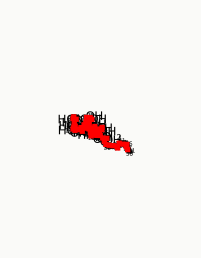 CC(=O)N[C@H]1[C@H](O[C@H]2[C@H](O)[C@@H](NC(C)=O)[C@H](O[C@H]3[C@@H](OP(=O)(O)OC[C@@H](OCCC(C)CCCCC(C)(C)CCC(C)CCC(C)CCCC(C)C)C(=O)O)O[C@H](C(N)=O)[C@@](C)(O)[C@@H]3OC(N)=O)O[C@@H]2CO[C@@H]2O[C@H](CO)[C@@H](O)[C@H](O)[C@H]2O)O[C@H](C)[C@@H](O[C@@H]2O[C@H](C(=O)NC3=C(O)CCC3=O)[C@H](O)[C@H](O)[C@H]2O)[C@@H]1O